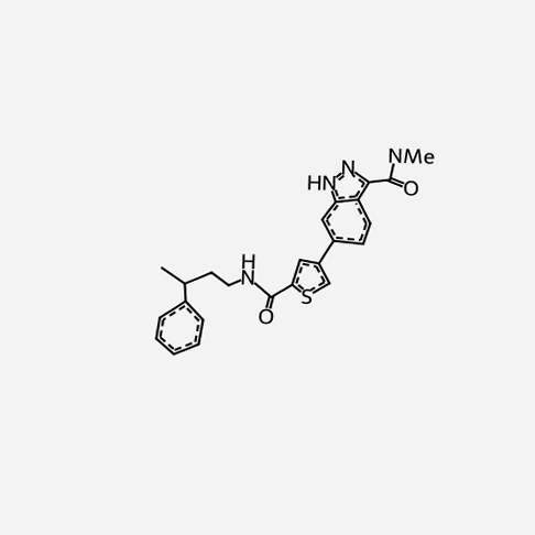 CNC(=O)c1n[nH]c2cc(-c3csc(C(=O)NCCC(C)c4ccccc4)c3)ccc12